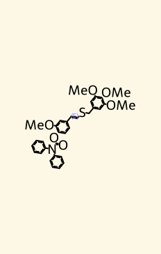 COc1cc(/C=C/SCc2cc(OC)c(OC)c(OC)c2)ccc1OC(=O)N(c1ccccc1)c1ccccc1